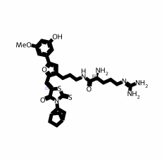 COc1cc(O)cc(-c2cc(CCCNC(=O)[C@@H](N)CCCN=C(N)N)c(/C=C3\SC(=S)N(C4CC5CCC4C5)C3=O)o2)c1